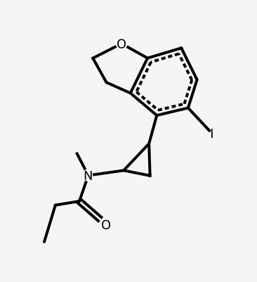 CCC(=O)N(C)C1CC1c1c(I)ccc2c1CCO2